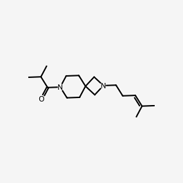 CC(C)=CCCN1CC2(CCN(C(=O)C(C)C)CC2)C1